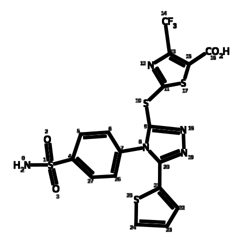 NS(=O)(=O)c1ccc(-n2c(Sc3nc(C(F)(F)F)c(C(=O)O)s3)nnc2-c2cccs2)cc1